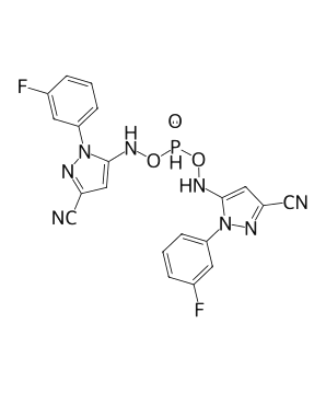 N#Cc1cc(NO[PH](=O)ONc2cc(C#N)nn2-c2cccc(F)c2)n(-c2cccc(F)c2)n1